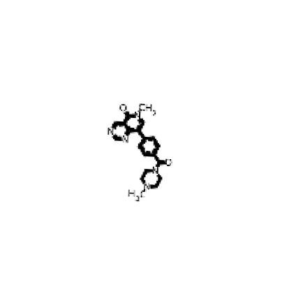 CN1CCN(C(=O)c2ccc(-c3cn(C)c(=O)c4cncnc34)cc2)CC1